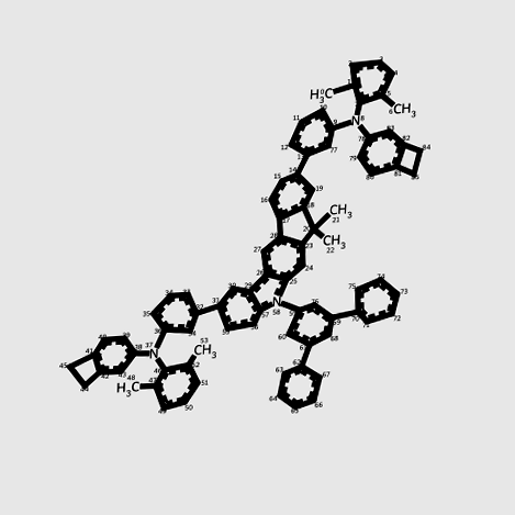 Cc1cccc(C)c1N(c1cccc(-c2ccc3c(c2)C(C)(C)c2cc4c(cc2-3)c2cc(-c3cccc(N(c5ccc6c(c5)CC6)c5c(C)cccc5C)c3)ccc2n4-c2cc(-c3ccccc3)cc(-c3ccccc3)c2)c1)c1ccc2c(c1)CC2